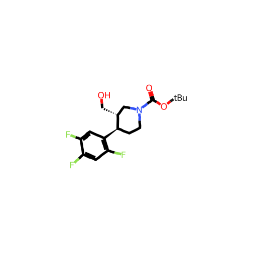 CC(C)(C)OC(=O)N1CC[C@@H](c2cc(F)c(F)cc2F)[C@H](CO)C1